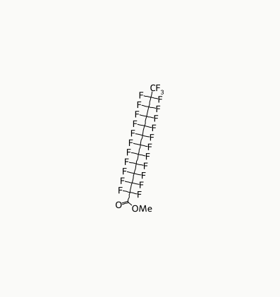 COC(=O)C(F)(F)C(F)(F)C(F)(F)C(F)(F)C(F)(F)C(F)(F)C(F)(F)C(F)(F)C(F)(F)C(F)(F)C(F)(F)C(F)(F)F